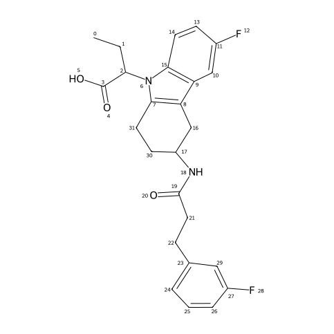 CCC(C(=O)O)n1c2c(c3cc(F)ccc31)CC(NC(=O)CCc1cccc(F)c1)CC2